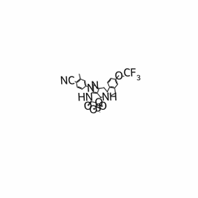 Cc1cc(-n2nc3c(c2NC(=O)CS(C)(=O)=O)C(=O)N[C@@]2(CCc4cc(OCC(F)(F)F)ccc42)C3)ccc1C#N